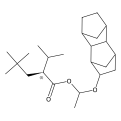 CC(OC(=O)[C@@H](CC(C)(C)C)C(C)C)OC1CC2CC1C1C3CCC(C3)C21